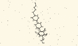 CCCCCC1CCC(C2CC=C(c3c(C)cc(OCC)c(F)c3F)CC2)CC1